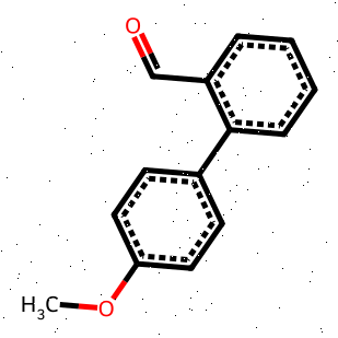 COc1ccc(-c2ccccc2C=O)cc1